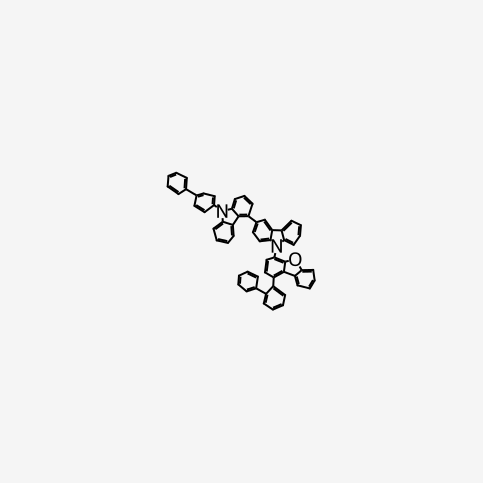 c1ccc(-c2ccc(-n3c4ccccc4c4c(-c5ccc6c(c5)c5ccccc5n6-c5ccc(-c6ccccc6-c6ccccc6)c6c5oc5ccccc56)cccc43)cc2)cc1